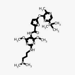 COc1nc(NCCCN(C)C)nc(OC)c1NC(=O)c1ccc(Oc2nc([Si](C)(C)C)cnc2C)o1